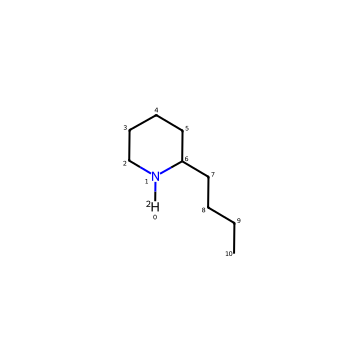 [2H]N1CCCCC1CCCC